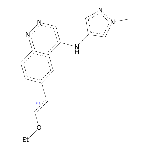 CCO/C=C/c1ccc2nncc(Nc3cnn(C)c3)c2c1